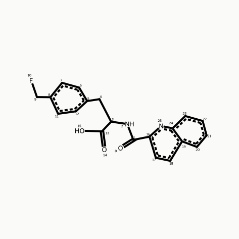 O=C(NC(Cc1ccc(CF)cc1)C(=O)O)c1ccc2ccccc2n1